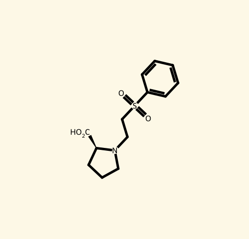 O=C(O)[C@@H]1CCCN1CCS(=O)(=O)c1ccccc1